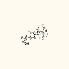 Cc1cc(N2CC(C)(C)N[C@@H]3CCCC[C@H]32)ccc1OC(F)(F)CO